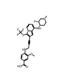 COc1cc(C(=O)O)ccc1NCC#Cc1cc2c(N[C@@H]3CCN(C)C[C@@H]3F)cccn2c1SC(F)(F)F